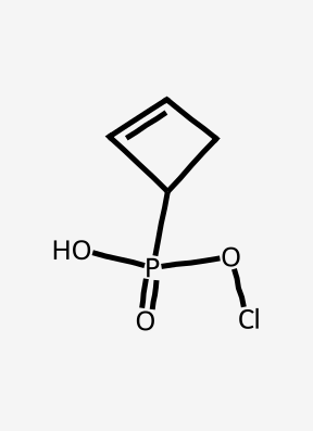 O=P(O)(OCl)C1C=CC1